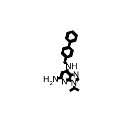 CC(C)n1cnc2c(NCc3ccc(-c4ccccc4)cc3)cc(N)nc21